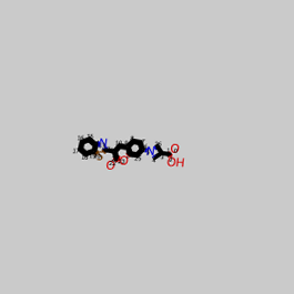 O=C(O)C1CN(c2ccc3cc(-c4nc5ccccc5s4)c(=O)oc3c2)C1